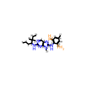 CCCC(Nc1ncc2nc(Nc3c(P)cc(C)cc3P)n(C)c2n1)C(C)(C)CC